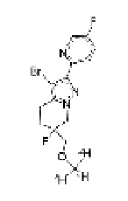 [2H]C([2H])([2H])OCC1(F)CCc2c(Br)c(-c3ccc(F)cn3)nn2C1